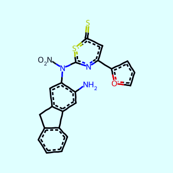 Nc1cc2c(cc1N(c1nc(-c3ccco3)cc(=S)s1)[N+](=O)[O-])Cc1ccccc1-2